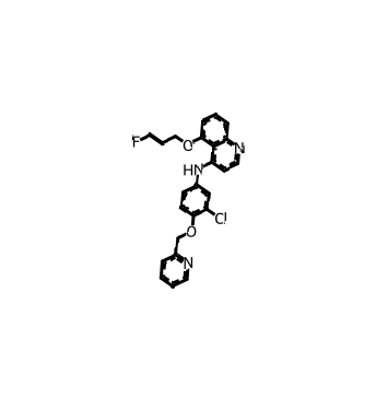 FCCCOc1cccc2nccc(Nc3ccc(OCc4ccccn4)c(Cl)c3)c12